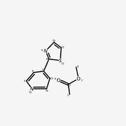 COC(C)=O.c1cc(-c2nccs2)ccn1